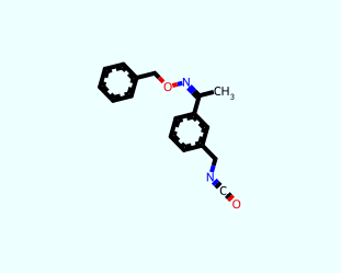 CC(=NOCc1ccccc1)c1cccc(CN=C=O)c1